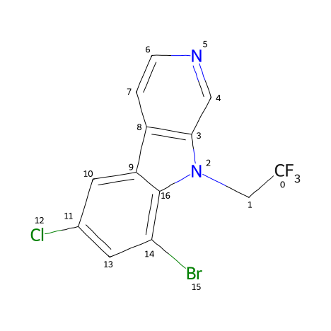 FC(F)(F)Cn1c2cnccc2c2cc(Cl)cc(Br)c21